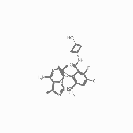 Cc1nc([Si@@H](C)c2cc(Cl)c(F)c(C(=O)N[C@H]3C[C@@H](O)C3)c2OC(C)C)n2ccnc(N)c12